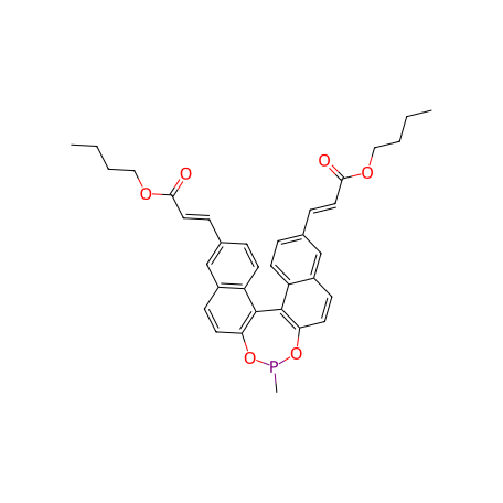 CCCCOC(=O)/C=C/c1ccc2c(ccc3op(C)oc4ccc5cc(/C=C/C(=O)OCCCC)ccc5c4c32)c1